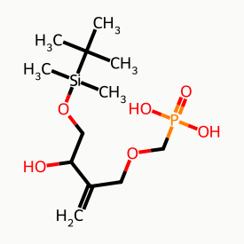 C=C(COCP(=O)(O)O)C(O)CO[Si](C)(C)C(C)(C)C